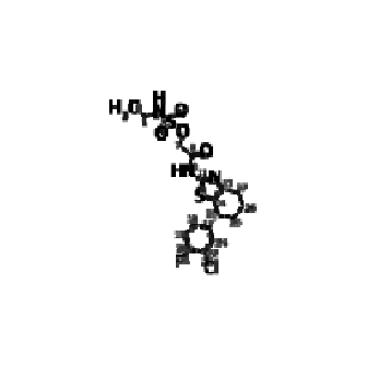 CCNS(=O)(=O)OCC(=O)Nc1nc2c(s1)[C@@H](c1ccc(F)c(Cl)c1)CCC2